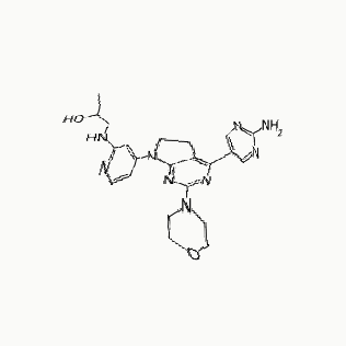 CC(O)CNc1cc(N2CCc3c(-c4cnc(N)nc4)nc(N4CCOCC4)nc32)ccn1